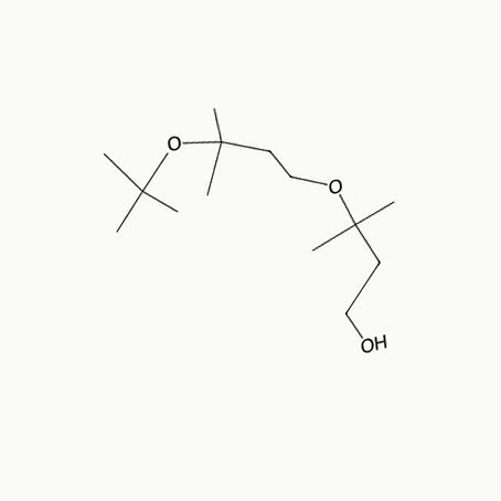 CC(C)(C)OC(C)(C)CCOC(C)(C)CCO